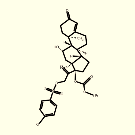 CCCOC(=O)O[C@]1(C(=O)COS(=O)(=O)c2ccc(Cl)cc2)CC[C@H]2[C@@H]3CCC4=CC(=O)CC[C@]4(C)[C@H]3[C@@H](O)C[C@@]21C